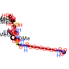 CCN(C(C)=O)[C@H]1CO[C@@H](O[C@H]2[C@H](O[C@H]3C#CC=CC#C[C@]4(O)CC(=O)C(NC(=O)OC)=C3C4=CCSSC(C)(C)CCC(=O)NCCNC(=O)CCOCCOCCOCCOCCOCCOCCOCCOCCNC(=O)CCN3C(=O)C=CC3=O)O[C@H](C)[C@@H](NO[C@H]3C[C@H](O)[C@H]([SH]=C(O)c4c(C)c(I)c(O[C@@H]5O[C@@H](C)[C@H](O)[C@@H](OC)[C@H]5O)c(OC)c4OC)[C@@H](C)O3)[C@@H]2O)C[C@@H]1OC